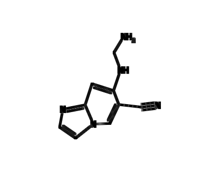 N#Cc1cn2ccnc2cc1NCN